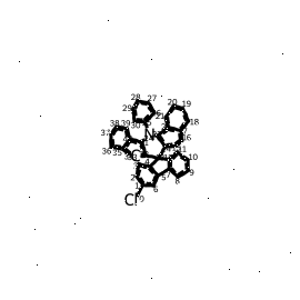 Clc1ccc2c(c1)-c1ccccc1C21c2ccc3ccccc3c2N(c2ccccc2)c2c1ccc1ccccc21